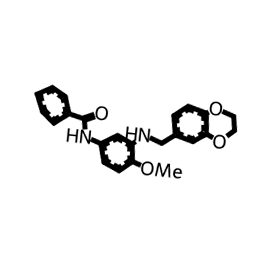 COc1ccc(NC(=O)c2ccccc2)cc1NCc1ccc2c(c1)OCCO2